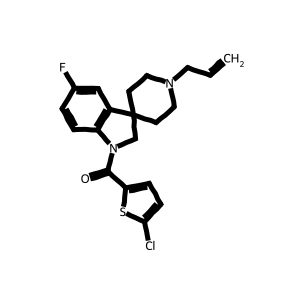 C=CCN1CCC2(CC1)CN(C(=O)c1ccc(Cl)s1)c1ccc(F)cc12